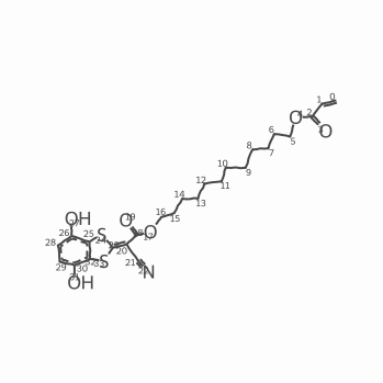 C=CC(=O)OCCCCCCCCCCCCOC(=O)C(C#N)=C1Sc2c(O)ccc(O)c2S1